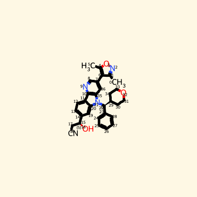 Cc1noc(C)c1-c1cnc2c3ccc([C@@H](O)CC#N)cc3n([C@H](c3ccccc3)C3CCOCC3)c2c1